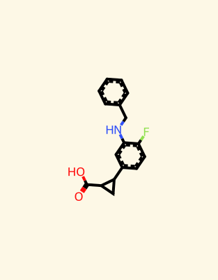 O=C(O)C1CC1c1ccc(F)c(NCc2ccccc2)c1